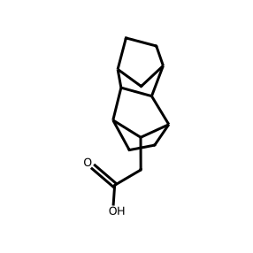 O=C(O)CC1C2CCC1C1C3CCC(C3)C21